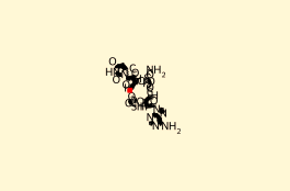 CO[C@@H]1[C@@H]2OP(=O)(SON)OC[C@H]3O[C@@H](n4cnc5c(N)ncnc54)C[C@@H]3OP(=O)(S)OC[C@H]2O[C@H]1n1ccc(=O)[nH]c1=O